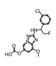 COc1cc(OC(=O)O)cn2nc(NC(CF)c3cccc(Cl)c3)nc12